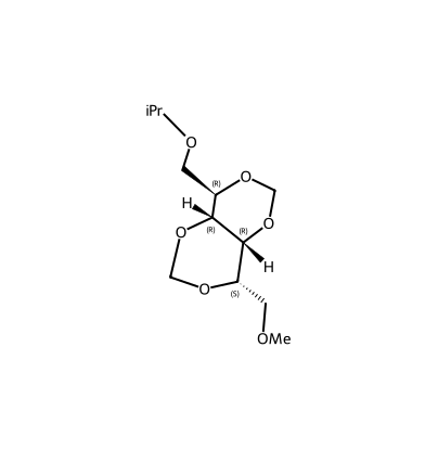 COC[C@@H]1OCO[C@H]2[C@@H]1OCO[C@@H]2COC(C)C